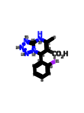 CC1=C(C(=O)O)C(c2ccccc2I)n2nnnc2N1